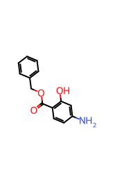 Nc1ccc(C(=O)OCc2ccccc2)c(O)c1